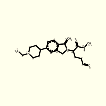 C=C1c2ccc(C3CCN(CC)CC3)cc2CN1C(CCC=O)C(=O)NC